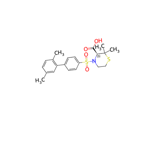 Cc1ccc(C)c(-c2ccc(S(=O)(=O)N3CCSC(C)(C)[C@@H]3C(=O)O)cc2)c1